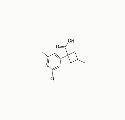 Cc1cc(C2(C(=O)O)CC(C)C2)cc(Cl)n1